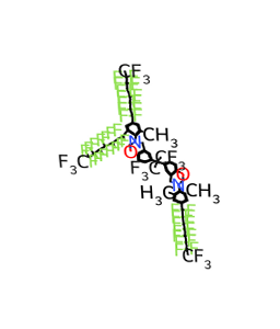 Cc1cc(C(F)(F)C(F)(F)C(F)(F)C(F)(F)C(F)(F)C(F)(F)C(F)(F)C(F)(F)F)cc(C)c1N1COc2ccc(C(c3ccc4c(c3)CN(c3c(C)cc(C(F)(F)C(F)(F)C(F)(F)C(F)(F)C(F)(F)C(F)(F)C(F)(F)C(F)(F)F)cc3C(F)(F)C(F)(F)C(F)(F)C(F)(F)C(F)(F)C(F)(F)C(F)(F)C(F)(F)F)CO4)(C(F)(F)F)C(F)(F)F)cc2C1